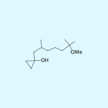 COC(C)(C)CCCC(C)CC1(O)CC1